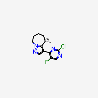 C[C@H]1CCCCn2ncc(-c3nc(Cl)ncc3F)c21